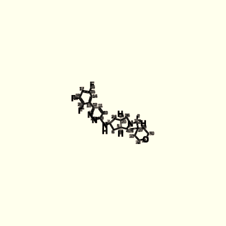 [2H]C(C)(N1C[C@H]2CC(Nc3ccc(-c4cc(F)cc(F)c4F)nn3)C[C@H]2C1)C1(C)CCOCC1